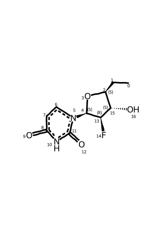 CC[C@@H]1O[C@H](n2ccc(=O)[nH]c2=O)[C@H](F)[C@H]1O